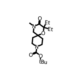 CCC1(CC)OC2(CCN(C(=O)OC(C)(C)C)CC2)CN(C)C1=O